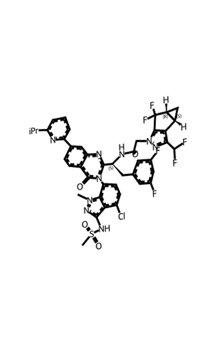 CC(C)c1cccc(-c2ccc3c(=O)n(-c4ccc(Cl)c5c(NS(C)(=O)=O)nn(C)c45)c([C@H](Cc4cc(F)cc(F)c4)NC(=O)Cn4nc(C(F)F)c5c4C(F)(F)[C@@H]4C[C@H]54)nc3c2)n1